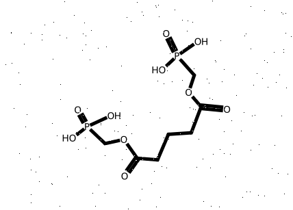 O=C(CCCC(=O)OCP(=O)(O)O)OCP(=O)(O)O